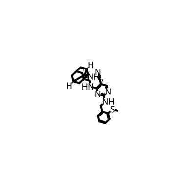 CSc1ccccc1CNc1ncc(C#N)c(NCC23CC4C[C@H](C2)[C@H](N)[C@@H](C4)C3)n1